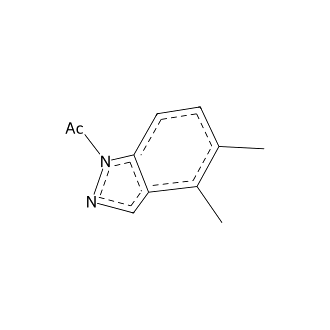 CC(=O)n1ncc2c(C)c(C)ccc21